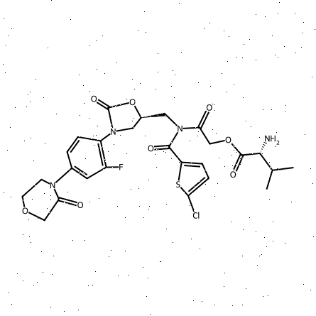 CC(C)[C@@H](N)C(=O)OCC(=O)N(C[C@H]1CN(c2ccc(N3CCOCC3=O)cc2F)C(=O)O1)C(=O)c1ccc(Cl)s1